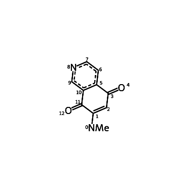 CNC1=CC(=O)c2ccncc2C1=O